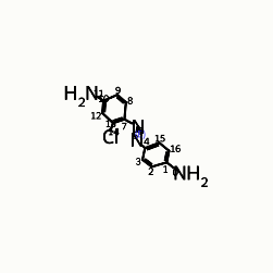 Nc1ccc(/N=N/c2ccc(N)cc2Cl)cc1